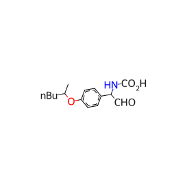 CCCCC(C)Oc1ccc(C(C=O)NC(=O)O)cc1